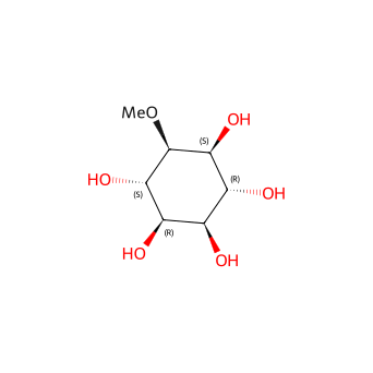 CO[C@H]1[C@@H](O)[C@H](O)[C@@H](O)[C@@H](O)[C@@H]1O